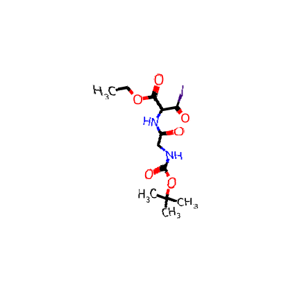 CCOC(=O)C(NC(=O)CNC(=O)OC(C)(C)C)C(=O)I